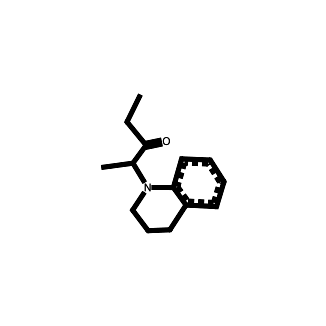 CCC(=O)C(C)N1CCCc2ccccc21